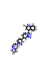 Cc1cc(-c2cnc3cc(-c4ccc(N5CCN6CCCC6C5)nc4)ccn23)c2ccccc2n1